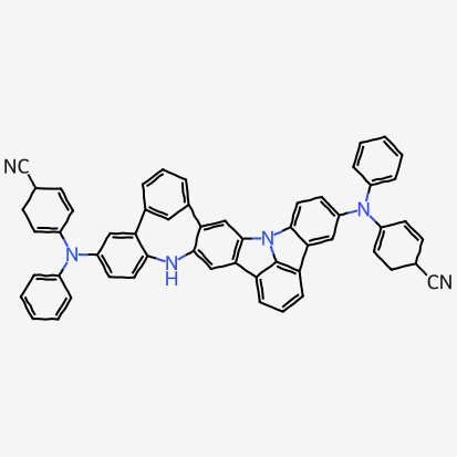 N#CC1C=CC(N(c2ccccc2)c2ccc3[nH]c4cc5c6cccc7c8cc(N(C9=CCC(C#N)C=C9)c9ccccc9)ccc8n(c5cc4c4cccc(c4)c3c2)c76)=CC1